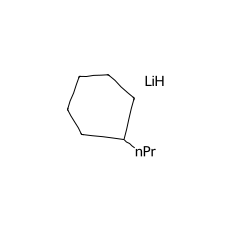 C[CH]CC1CCCCC1.[LiH]